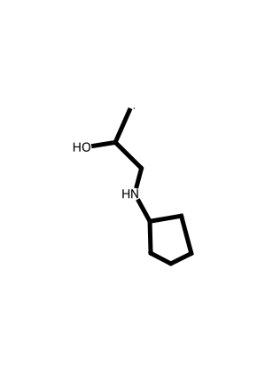 [CH2]C(O)CNC1CCCC1